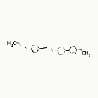 CCCCCc1ccc(C#CC=C[C@H]2CC[C@H](c3ccc(CC)cc3)CC2)cc1